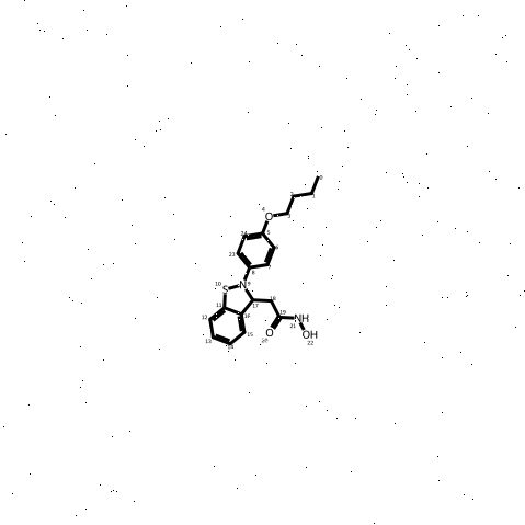 CCCCOc1ccc(N2Sc3ccccc3C2CC(=O)NO)cc1